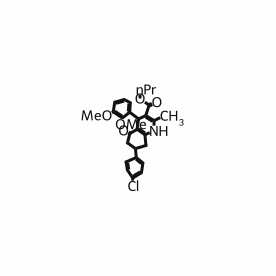 CCCOC(=O)C1=C(C)NC2=C(C(=O)CC(c3ccc(Cl)cc3)C2)C1c1cccc(OC)c1OC